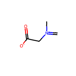 C=[N+](C)CC(=O)[O-]